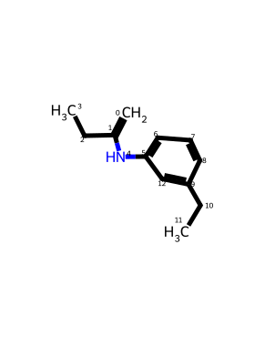 C=C(CC)Nc1cccc(CC)c1